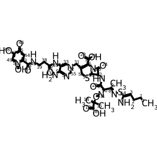 CCC/C=C(\N)S/N=C(C)/C(=N/OC(C)(C)C(=O)O)C(=O)N[C@@H]1C(=O)N2C(C(=O)O)=C(CN3C=C(NC(=O)CCNC(=O)c4cc(=O)c(O)cn4O)C(N)=NC3)CSC12